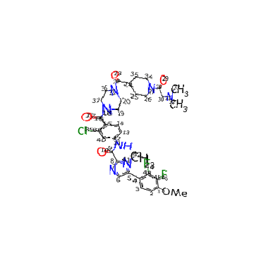 COc1ccc(-c2cnc(C(=O)Nc3ccc(C(=O)N4CCN(C(=O)C5CCN(C(=O)CN(C)C)CC5)CC4)c(Cl)c3)n2C)c(F)c1F